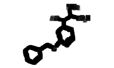 CC(=O)NC(C(=O)O)C(O)c1cccc(OCc2ccccc2)c1